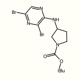 CC(C)(C)OC(=O)N1CCC(Nc2ncc(Br)nc2Br)C1